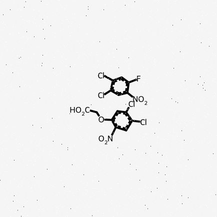 O=C(O)COc1cc(Cl)c(Cl)cc1[N+](=O)[O-].O=[N+]([O-])c1cc(Cl)c(Cl)cc1F